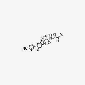 CS(=O)(=O)C(C(=O)NCC(=O)NC1CC1)c1nc2cc(F)c(-c3ccc(C#N)nc3)cc2s1